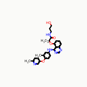 Cc1ccc(Oc2ccc(Nc3ncnc4cccc(O[C@H](C)C(=O)NCCCO)c34)cc2C)cn1